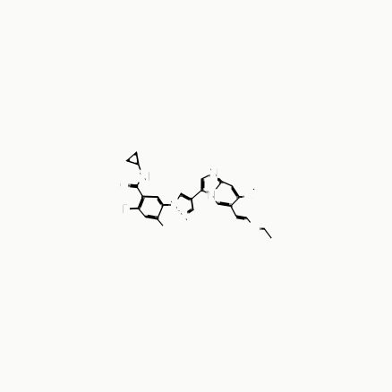 CCO/C=C/c1cn2c(-c3cnn(-c4cc(C(=O)NC5CC5)c(F)cc4C)c3)cnc2cc1OC